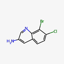 Nc1cnc2c(Br)c(Cl)ccc2c1